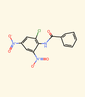 O=C(Nc1c(Cl)cc([N+](=O)[O-])cc1[N+](=O)[O-])c1ccccc1